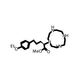 CCOc1ccc(CCC[C@H](C(=O)OC)N2CCNCCNCCNCC2)cc1